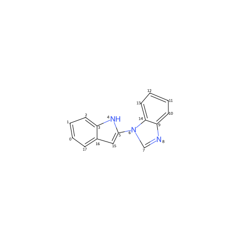 c1ccc2[nH]c(-n3cnc4ccccc43)cc2c1